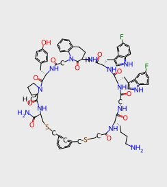 C[C@@]12CCCN1C(=O)[C@H](Cc1ccc(O)cc1)NC(=O)CN1C(=O)[C@@H](CCc3ccccc31)NC(=O)[C@H](Cc1c[nH]c3ccc(F)cc13)NC(=O)[C@H](Cc1c[nH]c3ccc(F)cc13)NC(=O)CNC(=O)[C@H](CCCCN)NC(=O)CCSCc1cccc(c1)CSC[C@@H](C(N)=O)NC2=O